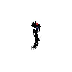 Cc1cccc(N2/C(=N/C(=O)NC(F)C(F)c3ccc(-c4ncn(-c5ccc(OC(F)(F)F)cc5)n4)cc3)SCCC2C)c1C(C)C